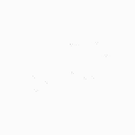 CCNc1nccc(C2CCN(c3nncc4c(OC)c(OC)c(OC)cc34)CC2)n1